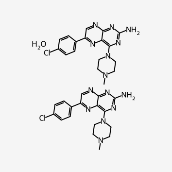 CN1CCN(c2nc(N)nc3ncc(-c4ccc(Cl)cc4)nc23)CC1.CN1CCN(c2nc(N)nc3ncc(-c4ccc(Cl)cc4)nc23)CC1.O